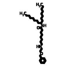 CCCCCCCCC(CCCCCCCC)NC(=O)CCCCCCCNCCOCc1ccccc1